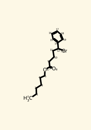 CCCCCCOC(=O)CCCC(Br)c1ccccc1